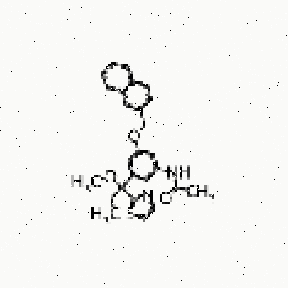 CCC(OC)(c1cc(NC(C)=O)cc(OCc2ccc3ccccc3c2)c1)c1nccs1